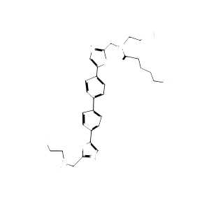 CCCCCC(=O)N(CCC)Cc1ncc(-c2ccc(-c3ccc(-c4cnc(CN(C)CCC)s4)cc3)cc2)s1